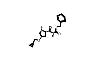 CN(C(=O)OCc1ccccc1)C(=O)[C@@H]1C[C@@H](OCC2CC2)CN1